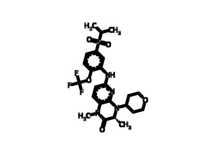 CC(C)S(=O)(=O)c1ccc(OC(F)(F)F)c(Nc2ccc3c(n2)N(C2CCOCC2)[C@H](C)C(=O)N3C)c1